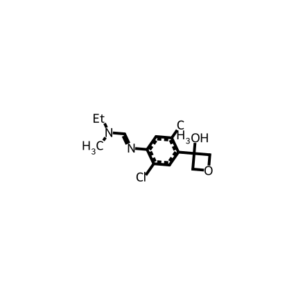 CCN(C)C=Nc1cc(C)c(C2(O)COC2)cc1Cl